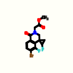 COC(=O)CN1CC2(CC2F)c2c(ccc(Br)c2F)C1=O